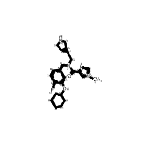 Cn1cnc(C(=O)N(Cc2ccc(F)c(OC3CCCCC3)c2)CC2C3CNCC32)c1